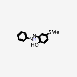 CSc1ccc(O)c(/N=N/c2ccccc2)c1